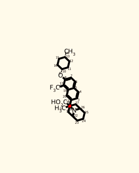 CC(c1ccc2ccc(O[C@H]3CC[C@@H](C)CC3)c(C(F)(F)F)c2c1)N1C2CCCC1CC(C(=O)O)C2